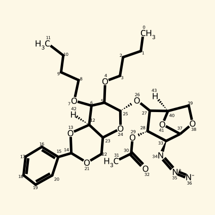 CCCCOC1C(OCCCC)[C@@H]2OC(c3ccccc3)OCC2O[C@H]1OC1[C@@H](OC(C)=O)[C@H](N=[N+]=[N-])C2OC[C@H]1O2